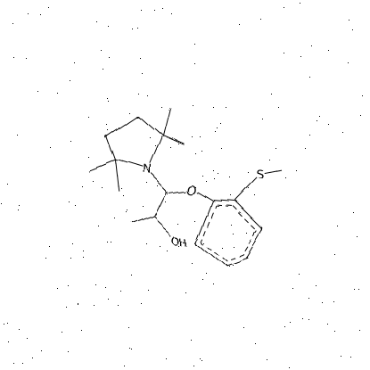 CSc1ccccc1OC(C(C)O)N1C(C)(C)CCC1(C)C